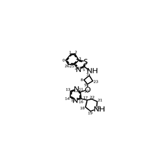 c1ccc2sc(N[C@H]3C[C@H](Oc4nccnc4C4CCNCC4)C3)nc2c1